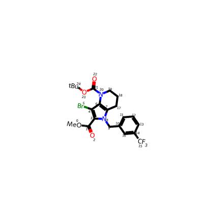 COC(=O)c1c(Br)c2c(n1Cc1cccc(C(F)(F)F)c1)CCCN2C(=O)OC(C)(C)C